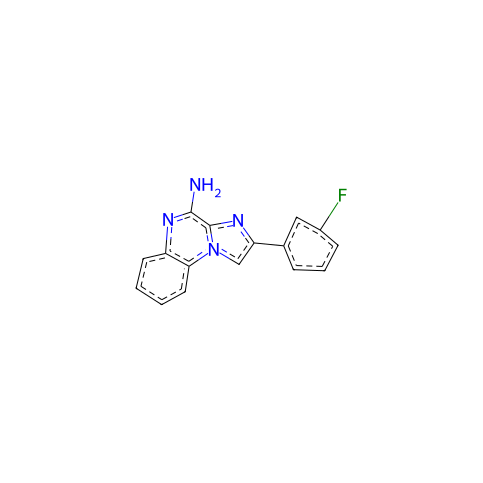 Nc1nc2ccccc2n2cc(-c3cccc(F)c3)nc12